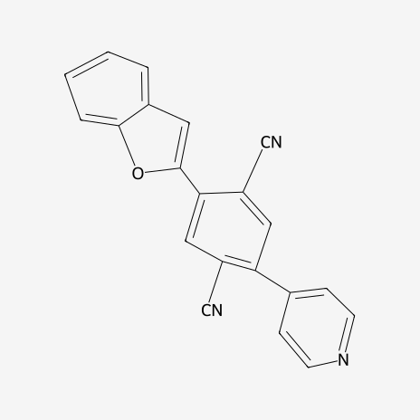 N#Cc1cc(-c2cc3ccccc3o2)c(C#N)cc1-c1ccncc1